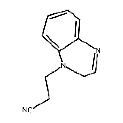 N#CCCN1CC=Nc2ccccc21